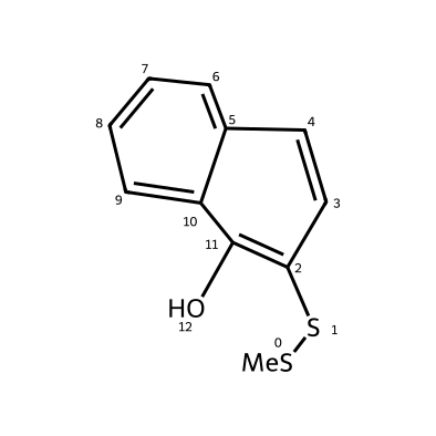 CSSc1ccc2ccccc2c1O